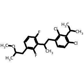 COC(C)Cc1ccc(F)c(C(C)Cc2ccc(Cl)c(C(C)C)c2Cl)c1F